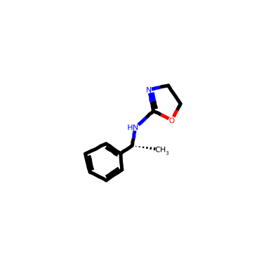 C[C@@H](NC1=NCCO1)c1ccccc1